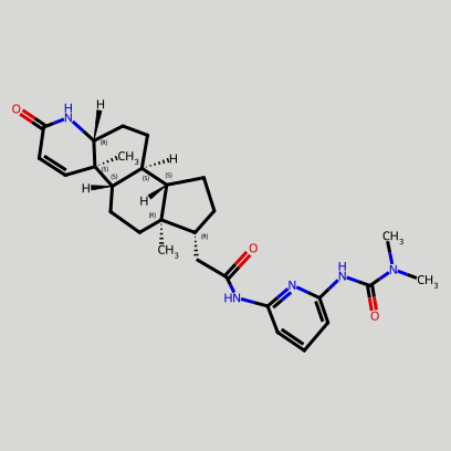 CN(C)C(=O)Nc1cccc(NC(=O)C[C@H]2CC[C@H]3[C@@H]4CC[C@H]5NC(=O)C=C[C@]5(C)[C@H]4CC[C@]23C)n1